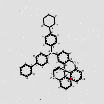 c1ccc(-c2ccc(N(c3ccc(C4CCCCC4)cc3)c3ccc4c(c3)[Si]3(c5ccccc5Oc5ccccc53)c3ccccc3O4)cc2)cc1